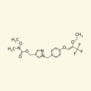 CCO/C(=C\Oc1ccc(Cn2cc(COC(=O)N(C)OC)cn2)cc1)C(F)(F)F